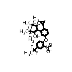 CC1(C)OC(C)(C)C(O)=C(c2cc(Oc3ccc(C(C)(F)F)cc3[N+](=O)[O-])ccc2C2CC2)C1=O